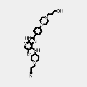 N#CCCN1CCC(Nc2c(Br)cnc3[nH]c(-c4ccc(N5CCN(CCCO)CC5)cc4)nc23)CC1